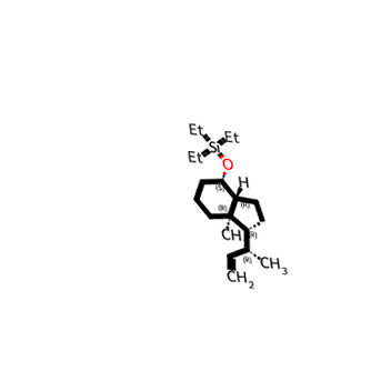 C=C[C@@H](C)[C@H]1CC[C@H]2[C@@H](O[Si](CC)(CC)CC)CCC[C@]12C